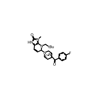 Cn1c2c([nH]c1=O)C=CC(N1CC3CCC1CN3C(=O)c1ccc(F)cc1)N2CC(C)(C)C